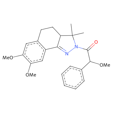 COc1cc2c(cc1OC)C1=NN(C(=O)C(OC)c3ccccc3)C(C)(C)C1CC2